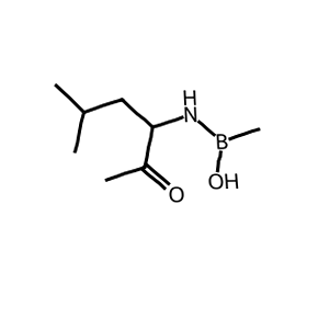 CB(O)NC(CC(C)C)C(C)=O